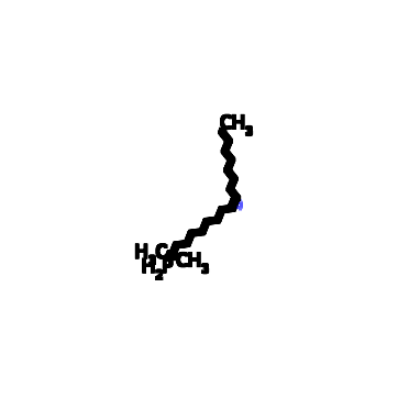 CCCCCCCC/C=C\CCCCCCCC(C)(C)P